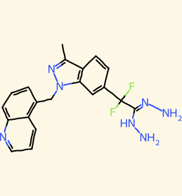 Cc1nn(Cc2cccc3ncccc23)c2cc(C(F)(F)/C(=N/N)NN)ccc12